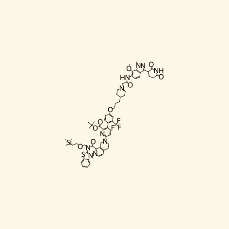 COc1c(NC(=O)CN2CCC(CCCOc3ccc(-c4ccc(N5CCc6ccnc(C(=O)N(COCC[Si](C)(C)C)c7nc8ccccc8s7)c6C5)nc4C(=O)OC(C)(C)C)c(C(F)(F)F)c3)CC2)ccc2c(C3CCC(=O)NC3=O)nn(C)c12